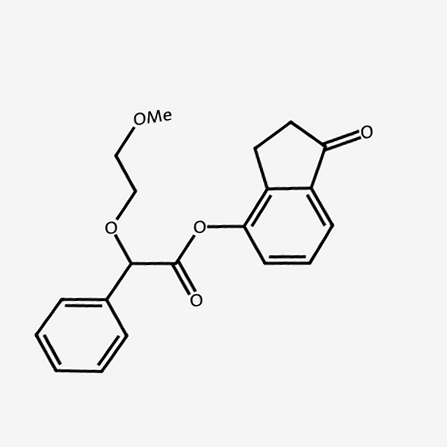 COCCOC(C(=O)Oc1cccc2c1CCC2=O)c1ccccc1